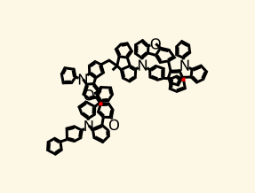 CC1(Cc2ccc3c(c2)c2cc(-c4ccc5oc6cccc(N(c7ccc(-c8ccccc8)cc7)c7ccc8oc9ccccc9c8c7)c6c5c4)ccc2n3-c2ccccc2)c2ccccc2-c2c(N(c3ccc(-c4ccccc4)cc3)c3cccc4oc5ccc(-c6cccc7c8ccccc8n(-c8ccccc8)c67)cc5c34)cccc21